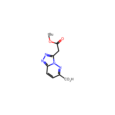 CC(C)(C)OC(=O)Cc1nnc2ccc(C(=O)O)nn12